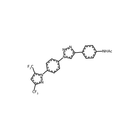 CC(=O)Nc1ccc(-c2cn(-c3ccc(-n4nc(C(F)(F)F)cc4C(F)(F)F)cc3)nn2)cc1